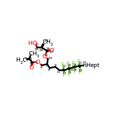 C=C(C)C(=O)OCC(CCCC(F)(F)C(F)(F)C(F)(F)C(F)(F)CCCCCCC)COC(=O)C(=C)CO